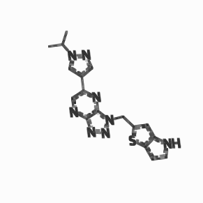 CC(C)n1cc(-c2cnc3nnn(Cc4cc5[nH]ccc5s4)c3n2)cn1